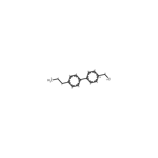 CCCc1ccc(-c2ccc(CCl)cc2)cc1